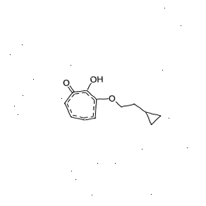 O=c1ccccc(OCCC2CC2)c1O